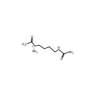 CC(=O)[C@@H](N)CCCCNC(N)=O